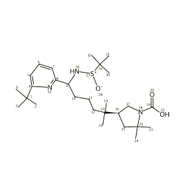 CC(C)(C)c1cccc(C(CCCC(C)(C)[C@H]2CN(C(=O)O)C(C)(C)C2)N[S+]([O-])C(C)(C)C)n1